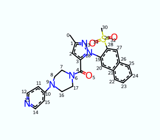 Cc1cc(C(=O)N2CCN(c3ccncc3)CC2)n(-c2cc3ccccc3cc2S(C)(=O)=O)n1